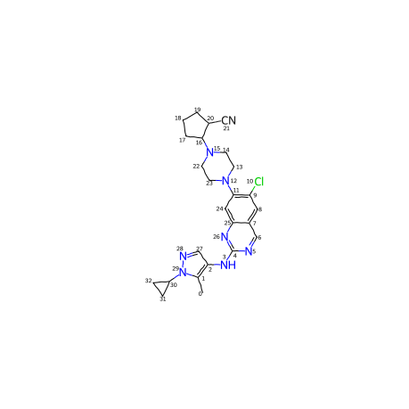 Cc1c(Nc2ncc3cc(Cl)c(N4CCN(C5CCCC5C#N)CC4)cc3n2)cnn1C1CC1